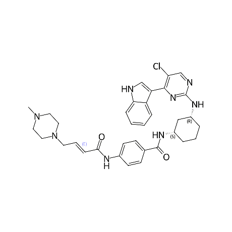 CN1CCN(C/C=C/C(=O)Nc2ccc(C(=O)N[C@H]3CCC[C@@H](Nc4ncc(Cl)c(-c5c[nH]c6ccccc56)n4)C3)cc2)CC1